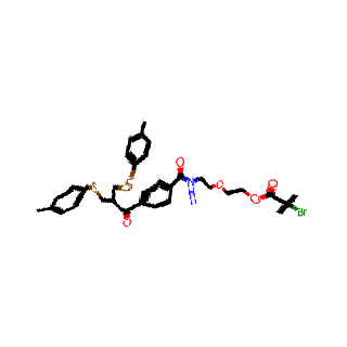 Cc1ccc(SCC(CSc2ccc(C)cc2)C(=O)c2ccc(C(=O)NCCOCCOC(=O)C(C)(C)Br)cc2)cc1